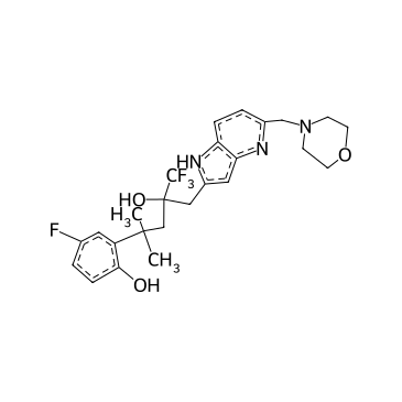 CC(C)(CC(O)(Cc1cc2nc(CN3CCOCC3)ccc2[nH]1)C(F)(F)F)c1cc(F)ccc1O